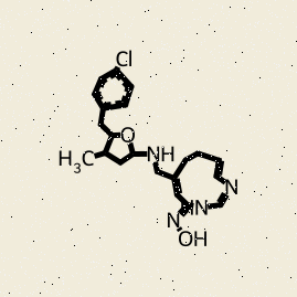 CC1CC(NC/C2=C/C(=N/O)N/C=N\C=C\CC2)OC1Cc1ccc(Cl)cc1